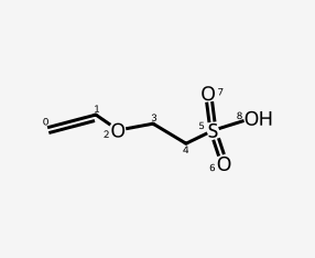 C=COCCS(=O)(=O)O